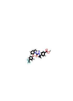 COC(=O)c1ccc(C2(NC(=O)N3CCc4cccc(Oc5ccc(C(F)(F)F)cc5)c43)CC2)cc1